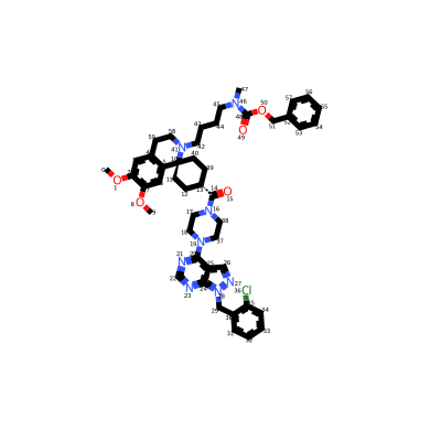 COc1cc2c(cc1OC)[C@]1(CC[C@@H](C(=O)N3CCN(c4ncnc5c4cnn5Cc4ccccc4Cl)CC3)CC1)N(CCCCN(C)C(=O)OCc1ccccc1)CC2